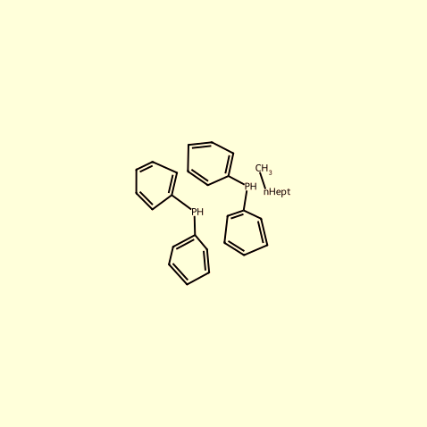 CCCCCCCC.c1ccc(Pc2ccccc2)cc1.c1ccc(Pc2ccccc2)cc1